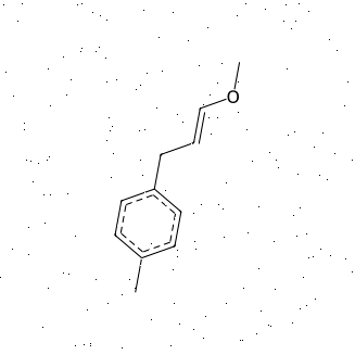 CO/C=C/Cc1ccc(C)cc1